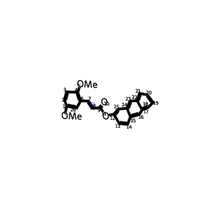 COc1ccc(OC)c(/C=C/C(=O)Oc2ccc3cc4ccccc4cc3c2)c1